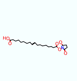 O=C(O)CCCCCCCC=CCCCCCCCC(=O)ON1C(=O)CCC1=O